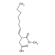 CCCCCC/C=C/C(CC(=O)O)C(=O)OC